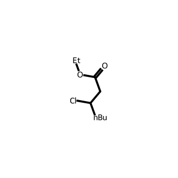 CCCCC(Cl)CC(=O)OCC